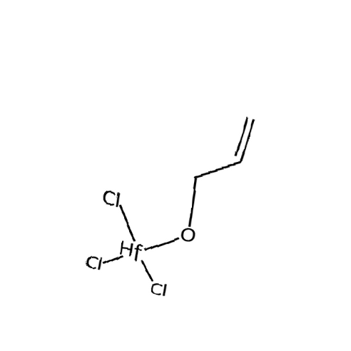 C=CC[O][Hf]([Cl])([Cl])[Cl]